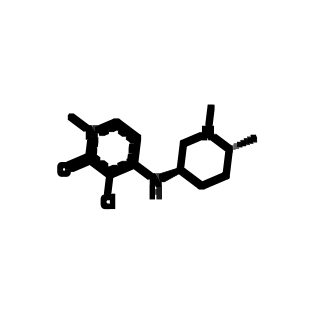 C[C@@H]1CC[C@@H](Nc2ccn(C)c(=O)c2Cl)CN1C